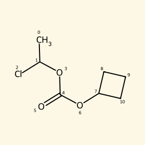 CC(Cl)OC(=O)OC1CCC1